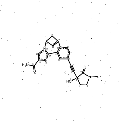 CN1CC[C@](O)(C#Cc2ccc3c(c2)-c2nc(C(N)=O)cn2C2C=C3C2)C1=O